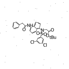 CC(C)(C)OC(=O)CN(c1cccc2c(NC(=O)Cc3ccccc3)cccc12)S(=O)(=O)c1cc(Cl)cc(Cl)c1